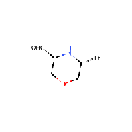 CC[C@@H]1COCC(C=O)N1